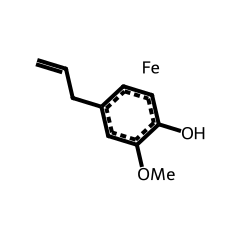 C=CCc1ccc(O)c(OC)c1.[Fe]